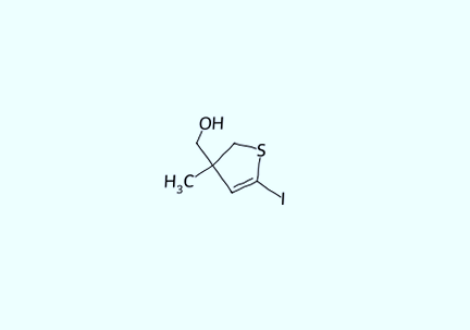 CC1(CO)C=C(I)SC1